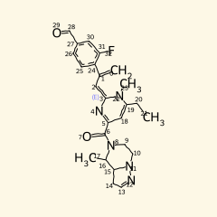 C=C(/C=C1/N=C(C(=O)N2CCN3N=CCC3C2C)C=C(CC)N1C)c1ccc(C=O)cc1F